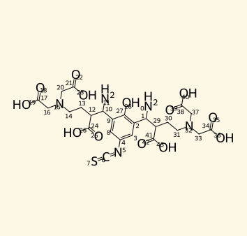 NC(c1cc(N=C=S)cc(C(N)C(CCN(CC(=O)O)CC(=O)O)C(=O)O)c1O)C(CCN(CC(=O)O)CC(=O)O)C(=O)O